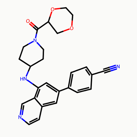 N#Cc1ccc(-c2cc(NC3CCN(C(=O)C4COCCO4)CC3)c3cnccc3c2)cc1